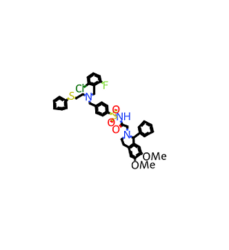 COc1cc2c(cc1OC)C(c1ccccc1)N(CC(=O)NS(=O)(=O)c1ccc(CN(CCSc3ccccc3)Cc3c(F)cccc3Cl)cc1)CC2